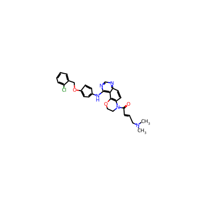 CN(C)C/C=C/C(=O)N1CCOc2c1ccc1ncnc(Nc3ccc(OCc4ccccc4Cl)cc3)c21